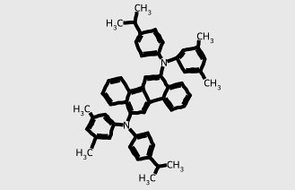 Cc1cc(C)cc(N(c2ccc(C(C)C)cc2)c2cc3c4ccccc4c(N(c4ccc(C(C)C)cc4)c4cc(C)cc(C)c4)cc3c3ccccc23)c1